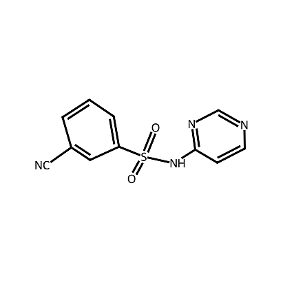 N#Cc1cccc(S(=O)(=O)Nc2ccncn2)c1